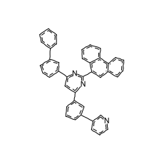 c1ccc(-c2cccc(-c3cc(-c4cccc(-c5cccnc5)c4)nc(-c4cc5ccccc5c5ccccc45)n3)c2)cc1